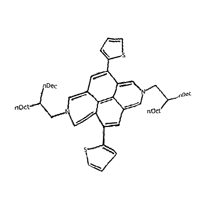 CCCCCCCCCCC(CCCCCCCC)CN1C=c2cc(-c3cccs3)c3c4c(cc(-c5cccs5)c(c24)=C1)=CN(CC(CCCCCCCC)CCCCCCCCCC)C=3